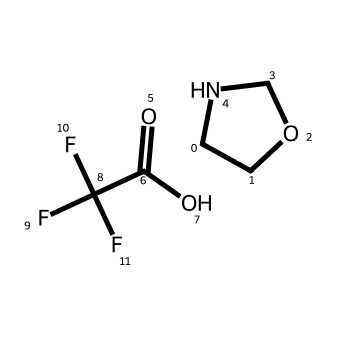 C1COCN1.O=C(O)C(F)(F)F